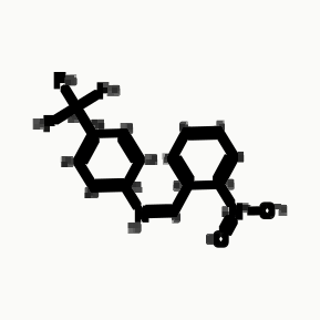 O=[N+]([O-])c1ccccc1/C=N\c1ccc(C(F)(F)F)cc1